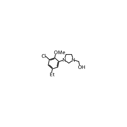 CCc1cc(Cl)c(OC)c(N2CCN(CO)C2)c1